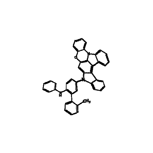 Cc1ccccc1-c1cc(-n2c3ccccc3c3c4c5ccccc5n5c4c(cc32)Oc2ccccc2-5)ccc1Nc1ccccc1